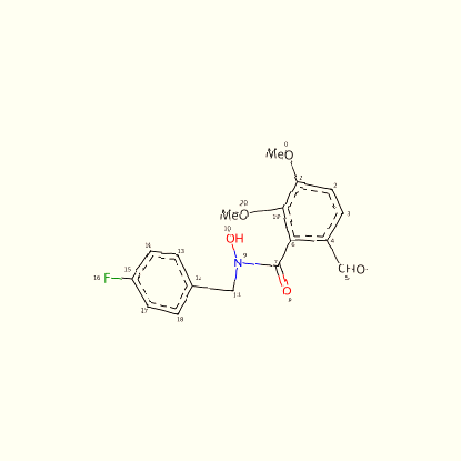 COc1ccc([C]=O)c(C(=O)N(O)Cc2ccc(F)cc2)c1OC